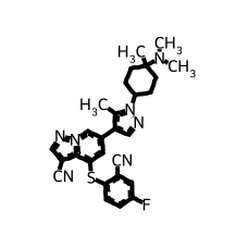 Cc1c(-c2cc(Sc3ccc(F)cc3C#N)c3c(C#N)cnn3c2)cnn1C1CCC(C)(N(C)C)CC1